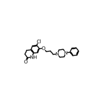 O=C1CCc2cc(Cl)c(OCCCN3CCN(c4ccccc4)CC3)cc2N1